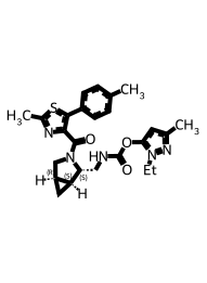 CCn1nc(C)cc1OC(=O)NC[C@@H]1[C@H]2C[C@H]2CN1C(=O)c1nc(C)sc1-c1ccc(C)cc1